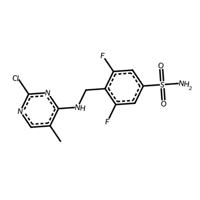 Cc1cnc(Cl)nc1NCc1c(F)cc(S(N)(=O)=O)cc1F